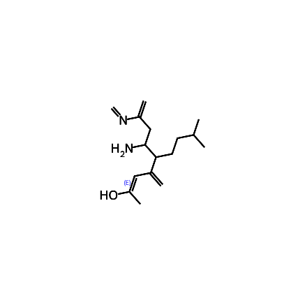 C=NC(=C)CC(N)C(CCC(C)C)C(=C)/C=C(\C)O